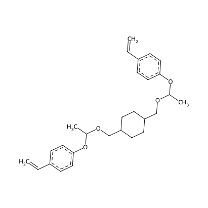 C=Cc1ccc(OC(C)OCC2CCC(COC(C)Oc3ccc(C=C)cc3)CC2)cc1